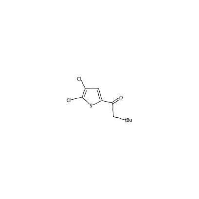 CC(C)(C)CC(=O)c1cc(Cl)c(Cl)s1